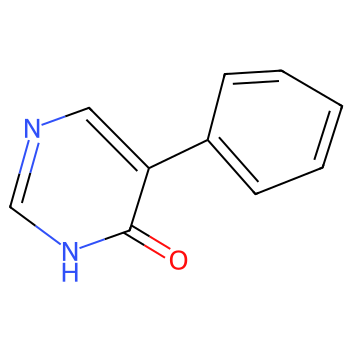 O=c1[nH]cncc1-c1ccccc1